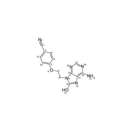 N#Cc1ccc(OCCn2c(O)nc3c(N)ncnc32)cc1